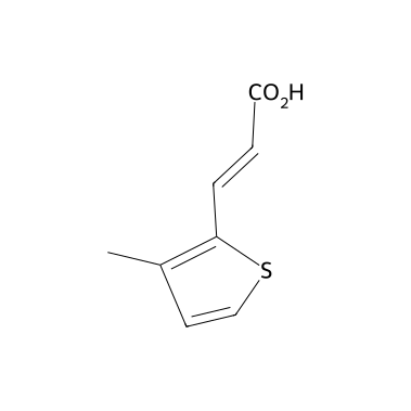 Cc1ccsc1C=CC(=O)O